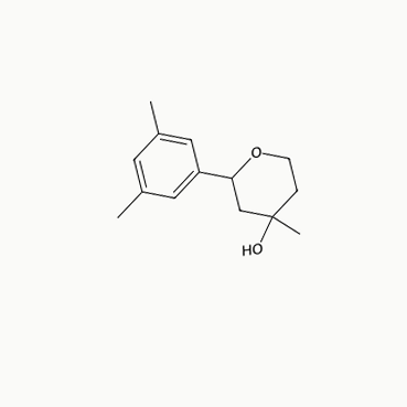 Cc1cc(C)cc(C2CC(C)(O)CCO2)c1